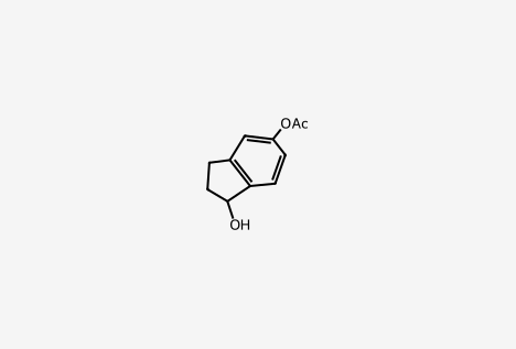 CC(=O)Oc1ccc2c(c1)CCC2O